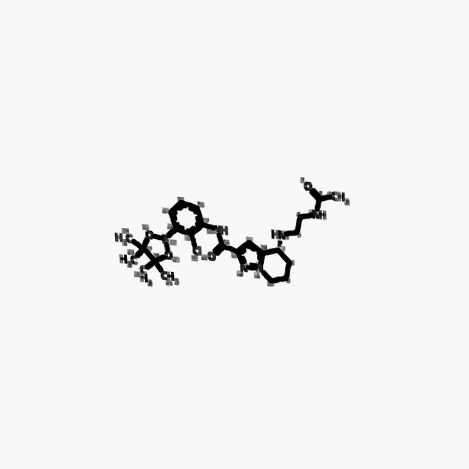 CC(=O)NCCN[C@@H]1CCCn2nc(C(=O)Nc3cccc(B4OC(C)(C)C(C)(C)O4)c3Cl)cc21